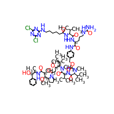 CC[C@H](C)[C@@H]([C@@H](CC(=O)N1CCC[C@H]1[C@H](OC)[C@@H](C)C(=O)N[C@H](C)[C@@H](O)c1ccccc1)OC)N(C)C(=O)[C@@H](NC(=O)C(C(C)C)N(C)C(=O)OCc1ccc(NC(=O)[C@H](CCCNC(N)=O)NC(=O)C(NC(=O)CCCCCNc2nc(Cl)nc(Cl)n2)C(C)C)cc1)C(C)C